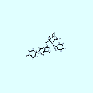 [2H]C1NN=C(Cc2csc3nc(-c4ccc(F)cc4)cn23)N1Cc1ccccc1